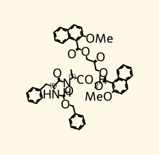 COc1ccc2ccccc2c1C(=O)OCC(=O)COC(=O)c1c(OC)ccc2ccccc12.C[C@H](NC(=O)[C@H](Cc1ccccc1)NC(=O)OCc1ccccc1)C(=O)O